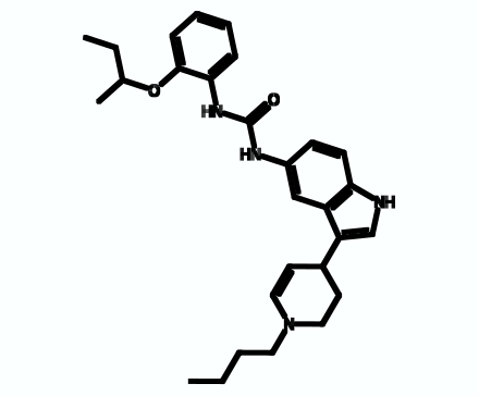 CCCCN1C=CC(c2c[nH]c3ccc(NC(=O)Nc4ccccc4OC(C)CC)cc23)CC1